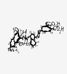 Nc1ccc2cc(S(=O)(=O)O)c(N=Nc3ccc(N=Nc4ccc(C(=O)O)c(C(=O)O)c4)c4ccccc34)c(O)c2c1